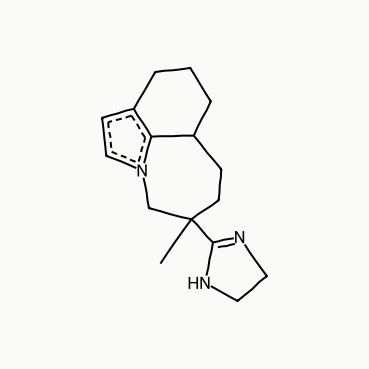 CC1(C2=NCCN2)CCC2CCCc3ccn(c32)C1